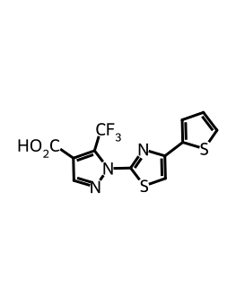 O=C(O)c1cnn(-c2nc(-c3cccs3)cs2)c1C(F)(F)F